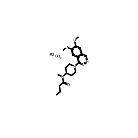 CCCC(=O)N(C)C1CCN(c2nncc3cc(OC)c(OC)cc23)CC1.Cl.O